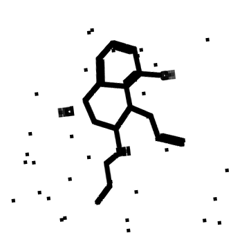 C=CCC1c2c(O)cccc2CCC1NCCC.Cl